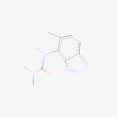 Cc1ccc2[nH]nnc2c1N(C)C(=O)N(C)C